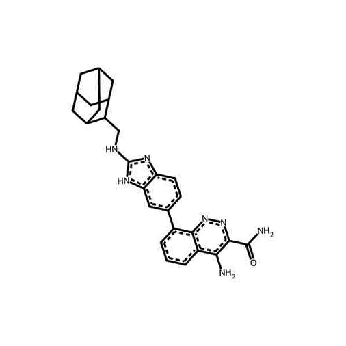 NC(=O)c1nnc2c(-c3ccc4nc(NCC5C6CC7CC(C6)CC5C7)[nH]c4c3)cccc2c1N